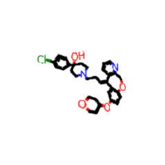 OC1(c2ccc(Cl)cc2)CCN(CCC=C2c3cc(OC4CCOCC4)ccc3OCc3ncccc32)CC1